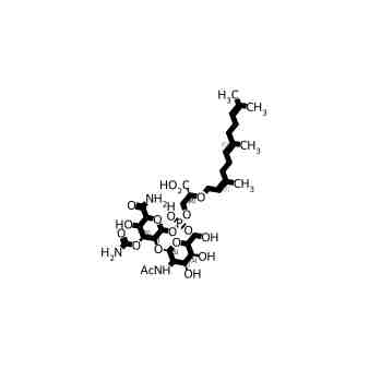 CC(=O)NC1[C@H](O[C@@H]2C(OP(=O)(O)OC[C@@H](OC/C=C(/C)CC/C=C(\C)CCC=C(C)C)C(=O)O)OC(C(N)=O)C(O)[C@@H]2OC(N)=O)OC(CO)[C@@H](O)[C@@H]1O